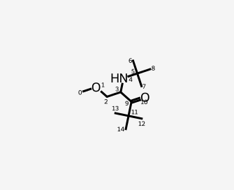 COCC(NC(C)(C)C)C(=O)C(C)(C)C